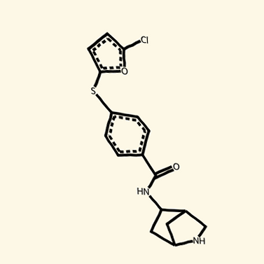 O=C(NC1CC2CC1CN2)c1ccc(Sc2ccc(Cl)o2)cc1